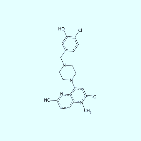 Cn1c(=O)cc(N2CCN(Cc3ccc(Cl)c(O)c3)CC2)c2nc(C#N)ccc21